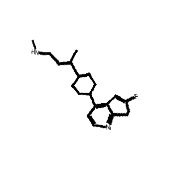 CNCCC(C)C1CCC(c2ccnc3c2C=C(F)C3)CC1